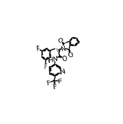 O=C(Nc1ccc(C(F)(F)F)nc1)[C@H](Cc1cc(F)cc(F)c1)N1C(=O)c2ccccc2C1=O